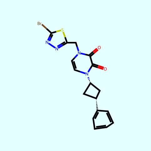 O=c1c(=O)n([C@H]2C[C@@H](c3ccccc3)C2)ccn1Cc1nnc(Br)s1